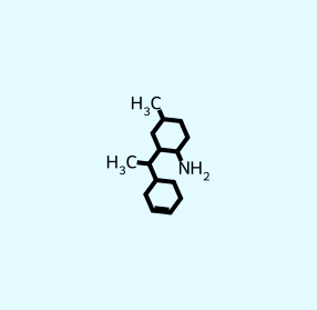 CC1CCC(N)C(C(C)C2CC=CCC2)C1